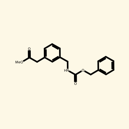 COC(=O)Cc1cccc(CNC(=O)OCc2ccccc2)c1